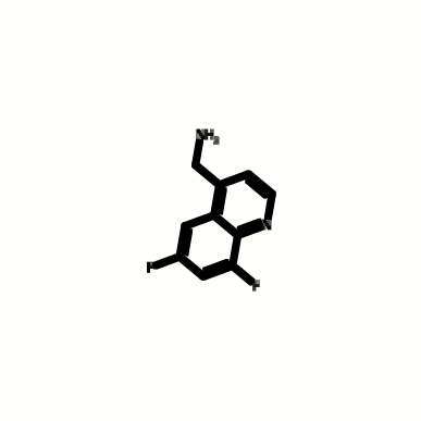 NCc1ccnc2c(F)cc(F)cc12